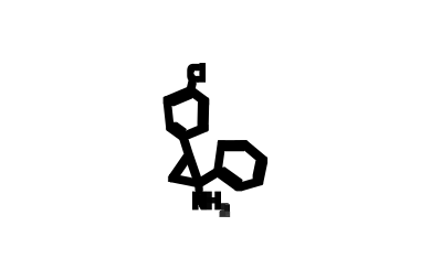 NC1(c2ccccc2)CC1c1ccc(Cl)cc1